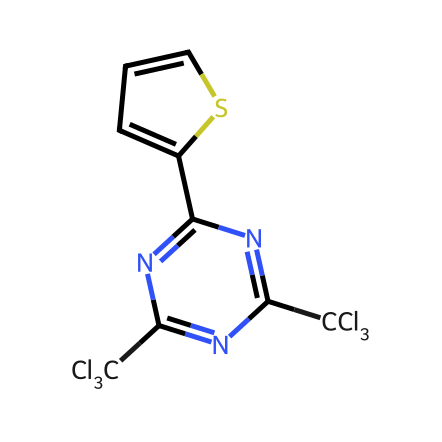 ClC(Cl)(Cl)c1nc(-c2cccs2)nc(C(Cl)(Cl)Cl)n1